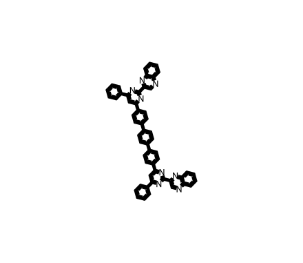 c1ccc(-c2cc(-c3ccc(-c4ccc(-c5ccc(-c6cc(-c7ccccc7)nc(-c7cnc8ccccc8n7)n6)cc5)cc4)cc3)nc(-c3cnc4ccccc4n3)n2)cc1